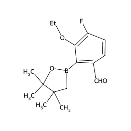 CCOc1c(F)ccc(C=O)c1B1CC(C)(C)C(C)(C)O1